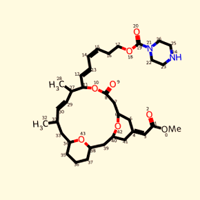 COC(=O)/C=C1\CC2CC(=O)OC(/C=C/C=C\CCOC(=O)N3CCNCC3)C(C)/C=C/C(C)CC3CCCC(CC(C1)O2)O3